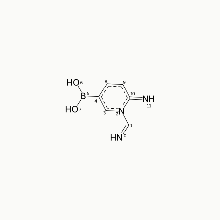 N=Cn1cc(B(O)O)ccc1=N